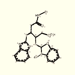 CCNC(=O)CC(Sc1nc2ccccc2o1)C(CC(=O)O)SC1Oc2ccccc2N1CC